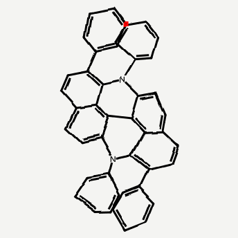 c1ccc(-c2ccc3ccc4c5c3c2n(-c2ccccc2)c2ccc3ccc(-c6ccccc6)c(c3c2-5)n4-c2ccccc2)cc1